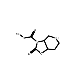 CC(C)(C)OC(=O)N1C(=O)OC2CCNCC21